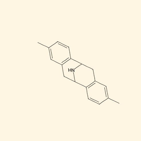 Cc1ccc2c(c1)CC1NC2Cc2cc(C)ccc21